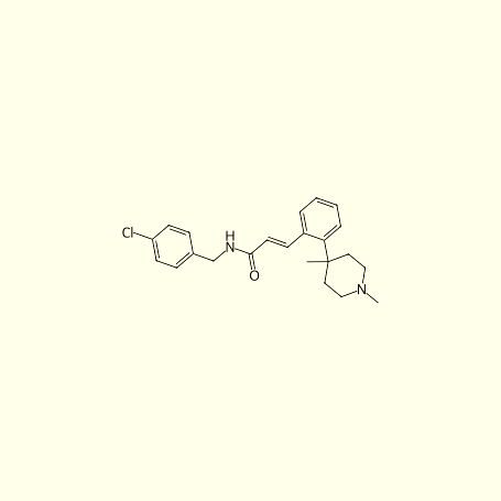 CN1CCC(C)(c2ccccc2C=CC(=O)NCc2ccc(Cl)cc2)CC1